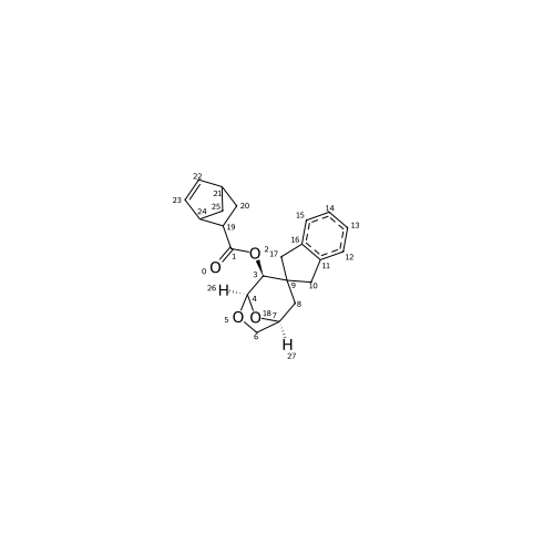 O=C(O[C@@H]1[C@@H]2OC[C@H](CC13Cc1ccccc1C3)O2)C1CC2C=CC1C2